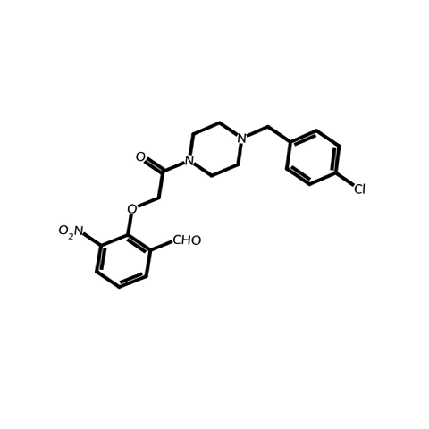 O=Cc1cccc([N+](=O)[O-])c1OCC(=O)N1CCN(Cc2ccc(Cl)cc2)CC1